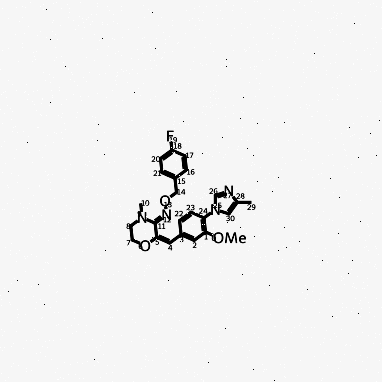 COc1cc(/C=C2/OCCN(C)/C2=N\OCc2ccc(F)cc2)ccc1-n1cnc(C)c1